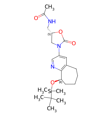 CC(=O)NC[C@H]1CN(c2cnc3c(c2)CCCC[C@H]3O[Si](C)(C)C(C)(C)C)C(=O)O1